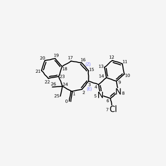 C=C1/C=C(c2nc(Cl)nc3ccccc23)\C=C/Cc2ccccc2C1(C)C